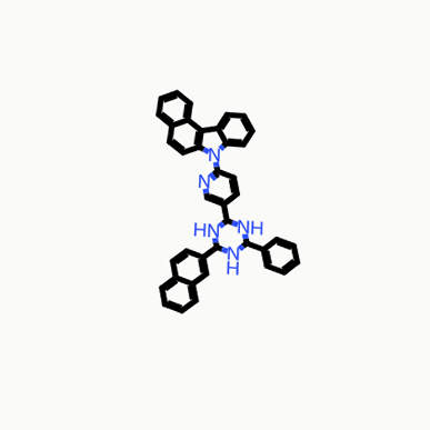 c1ccc(C2NC(c3ccc(-n4c5ccccc5c5c6ccccc6ccc54)nc3)NC(c3ccc4ccccc4c3)N2)cc1